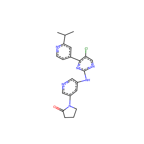 CC(C)c1cc(-c2nc(Nc3cncc(N4CCCC4=O)c3)ncc2Cl)ccn1